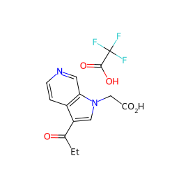 CCC(=O)c1cn(CC(=O)O)c2cnccc12.O=C(O)C(F)(F)F